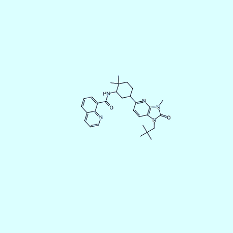 Cn1c(=O)n(CC(C)(C)C)c2ccc(C3CCC(C)(C)C(NC(=O)c4cccc5cccnc45)C3)nc21